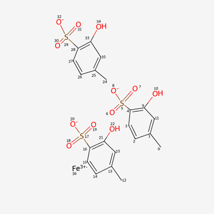 Cc1ccc(S(=O)(=O)[O-])c(O)c1.Cc1ccc(S(=O)(=O)[O-])c(O)c1.Cc1ccc(S(=O)(=O)[O-])c(O)c1.[Fe+3]